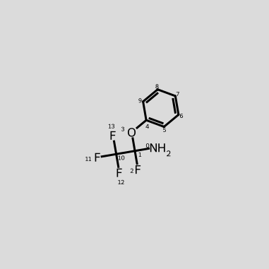 NC(F)(Oc1ccccc1)C(F)(F)F